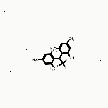 Cc1cc(C)c(C(c2c(C)cc(C)cc2C)C(F)(F)F)c(C)c1